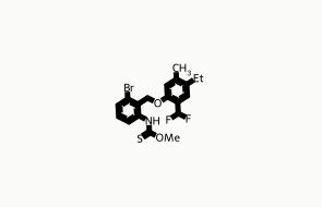 CCc1cc(C(F)F)c(OCc2c(Br)cccc2NC(=S)OC)cc1C